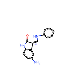 Nc1ccc2c(c1)/C(=C/Nc1ccccc1)C(=O)N2